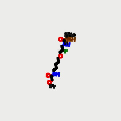 CS[SH](S)C(=O)NCC(F)COCCCCCNC(=O)COC(C)C